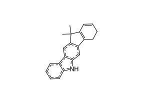 CC1(C)C2=C(CCC=C2)c2cc3[nH]c4ccccc4c3cc21